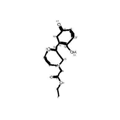 CCOC(=O)CN1C=COC(C2=C(O)C=CC(=O)C2)C1